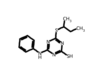 CCC(C)Sc1nc(S)nc(Nc2ccccc2)n1